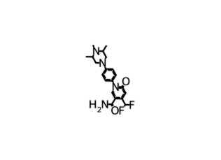 CC1CN(c2ccc(-n3cc(C(N)=O)c(C(F)F)cc3=O)cc2)CC(C)N1C